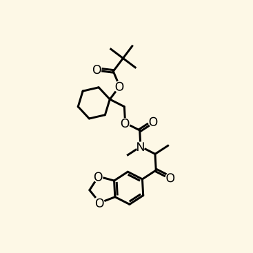 CC(C(=O)c1ccc2c(c1)OCO2)N(C)C(=O)OCC1(OC(=O)C(C)(C)C)CCCCC1